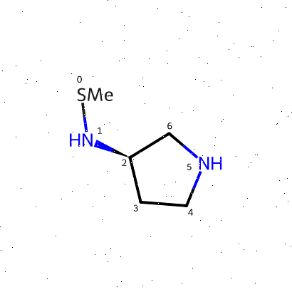 CSN[C@@H]1CCNC1